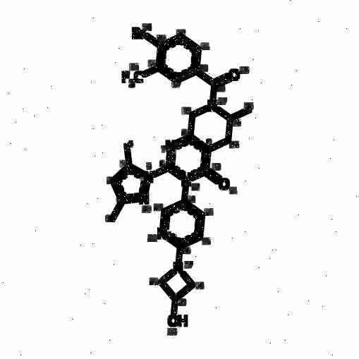 Cc1cc(C)n(-c2nc3c(c(=O)n2-c2ccc(N4CC(O)C4)nc2)CC(C)N(C(=O)c2ccc(Br)c(C(F)(F)F)c2)C3)n1